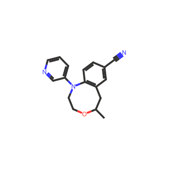 CC1Cc2cc(C#N)ccc2N(c2cccnc2)CCO1